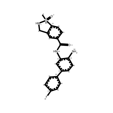 C[SH]1(=O)NCc2cc(C(=O)Nc3cc(-c4ccc(F)cc4)ccc3N)ccc21